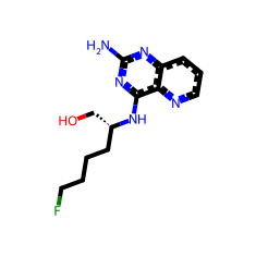 Nc1nc(N[C@@H](CO)CCCCF)c2ncccc2n1